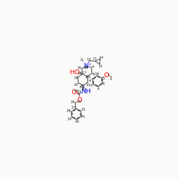 COc1cccc([C@@]23CC[N@+](C)(CC4CC4)CC2(O)CC[C@H](NC(=O)OCc2ccccc2)C3)c1